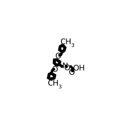 Cc1ccc(COc2ccc(OCc3ccc(C)cc3)c(C=NOCC(=O)O)c2)cc1